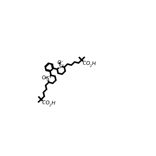 CC(C)(CCCCC1CCCC(c2ccccc2C2CCCC(CCCCC(C)(C)C(=O)O)[S+]2[O-])[S+]1[O-])C(=O)O